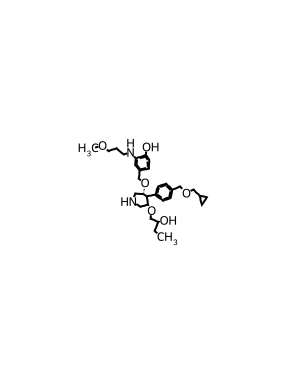 CC[C@@H](O)CO[C@@H]1CNC[C@H](OCc2ccc(O)c(NCCCOC)c2)C1c1ccc(COCC2CC2)cc1